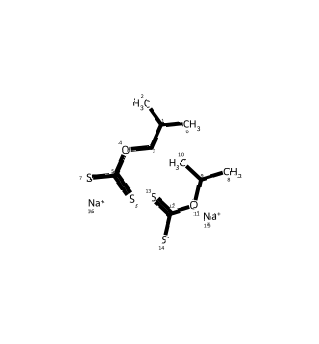 CC(C)COC(=S)[S-].CC(C)OC(=S)[S-].[Na+].[Na+]